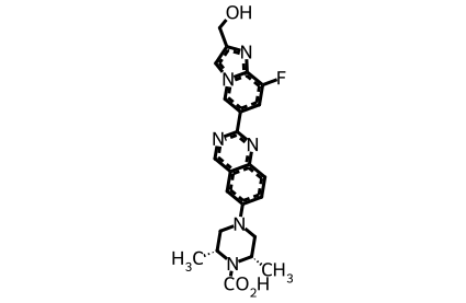 C[C@@H]1CN(c2ccc3nc(-c4cc(F)c5nc(CO)cn5c4)ncc3c2)C[C@H](C)N1C(=O)O